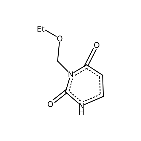 CCOCn1c(=O)cc[nH]c1=O